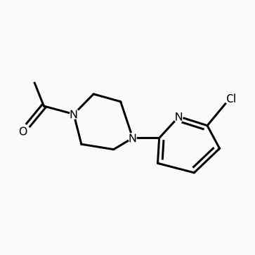 CC(=O)N1CCN(c2cccc(Cl)n2)CC1